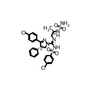 C[C@H](C/N=C(/NS(=O)(=O)c1ccc(Cl)cc1)N1C[C@H](c2ccccc2)C(c2ccc(Cl)cc2)=N1)NS(N)(=O)=O